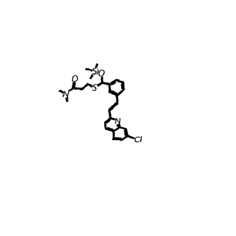 CN(C)C(=O)CCSC(O[Si](C)(C)C)c1cccc(C=Cc2ccc3ccc(Cl)cc3n2)c1